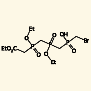 CCOC(=O)CP(=O)(CP(=O)(CP(=O)(O)CBr)OCC)OCC